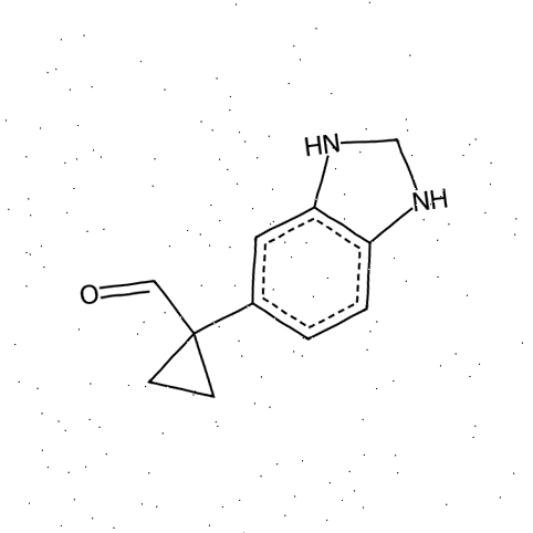 O=CC1(c2ccc3c(c2)NCN3)CC1